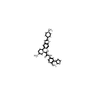 C[C@H]1CCC(c2ccc3sc(C4CCN(C)CC4)nc3c2)N(C(=O)C(=O)Nc2cnc(N)c(C3CCOC3)c2)C1